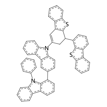 C1=C(n2c3ccccc3c3cc(-c4cccc5c6ccccc6n(-c6ccccc6)c45)ccc32)CC(c2cccc3c2sc2ccccc23)c2sc3ccccc3c21